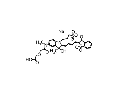 CN(C(=O)COCC(=O)O)c1ccc2c(c1)C(C)(C)/C(=C/C=C/C=C1/C(=O)c3ccccc3S1(=O)=O)N2CCCS(=O)(=O)[O-].[Na+]